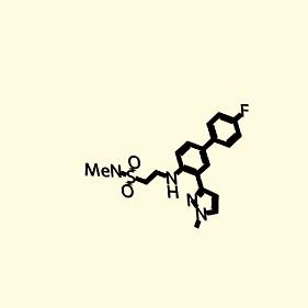 CNS(=O)(=O)CCNc1ccc(-c2ccc(F)cc2)cc1-c1ccn(C)n1